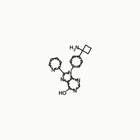 NC1(c2ccc(-n3c(-c4ccccn4)nc4c(O)ncnc43)cc2)CCC1